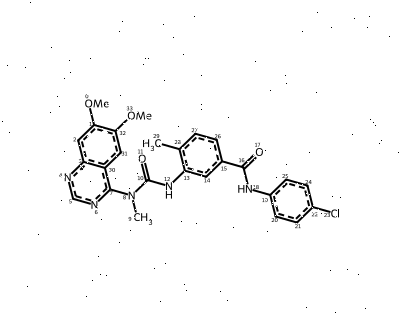 COc1cc2ncnc(N(C)C(=O)Nc3cc(C(=O)Nc4ccc(Cl)cc4)ccc3C)c2cc1OC